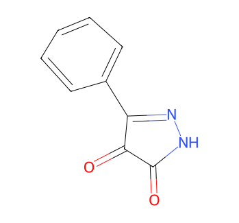 O=C1NN=C(c2ccccc2)C1=O